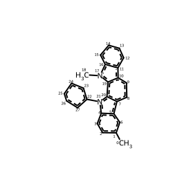 Cc1ccc2c(c1)c1ccc3c4ccccc4n(C)c3c1n2-c1ccccc1